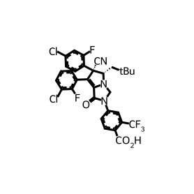 CC(C)(C)C[C@@H]1N2CN(c3ccc(C(=O)O)c(C(F)(F)F)c3)C(=O)C2=C(c2cccc(Cl)c2F)[C@@]1(C#N)c1ccc(Cl)cc1F